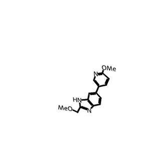 COCc1nc2ccc(-c3ccc(OC)nc3)cc2[nH]1